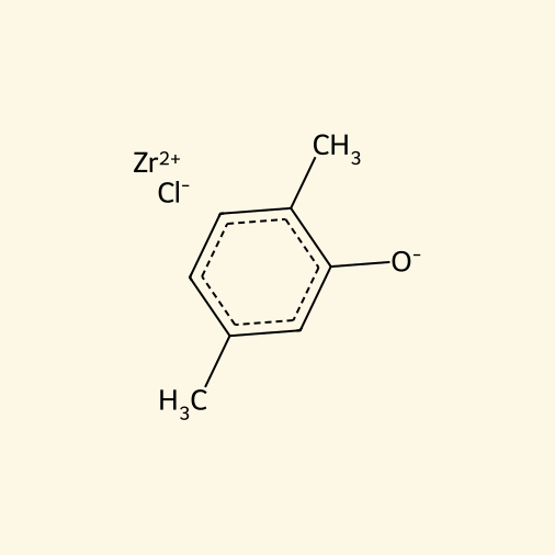 Cc1ccc(C)c([O-])c1.[Cl-].[Zr+2]